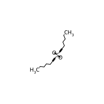 CCCCCC#CS(=O)(=O)C#CCCCCC